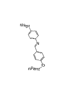 CCCCCCCc1ccc(/N=C/c2ccc(OCCCCC)cc2)cc1